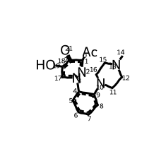 CC(=O)c1nn(-c2ccccc2N2CCN(C)CC2)cc(O)c1=O